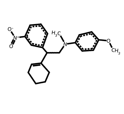 COc1ccc(N(C)CC(C2=CCCCC2)c2cccc([N+](=O)[O-])c2)cc1